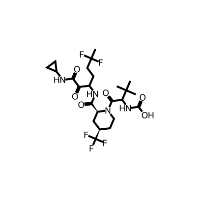 CC(F)(F)CCC(NC(=O)[C@@H]1C[C@H](C(F)(F)F)CCN1C(=O)C(NC(=O)O)C(C)(C)C)C(=O)C(=O)NC1CC1